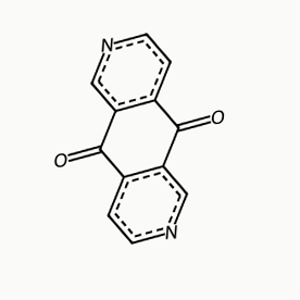 O=C1c2ccncc2C(=O)c2ccncc21